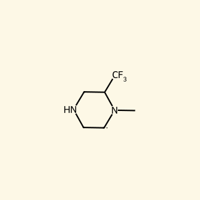 CN1[CH]CNCC1C(F)(F)F